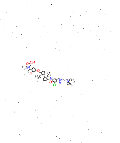 Cc1c(COc2ccc3c(c2)OCCC3N(C)CC(=O)O)cccc1-c1cccc(-c2nc3cc(CNCCCN(C)C)cc(Cl)c3o2)c1C